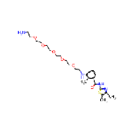 Cc1nc(NC(=O)c2cccc(NCCOCCOCCOCCOCCOCCN)c2C)sc1C